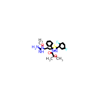 CO[C@@H](C)C(=O)N1N=C(c2cc(F)ccc2F)SC1(CCCN(OC)C(=N)N)c1ccccc1